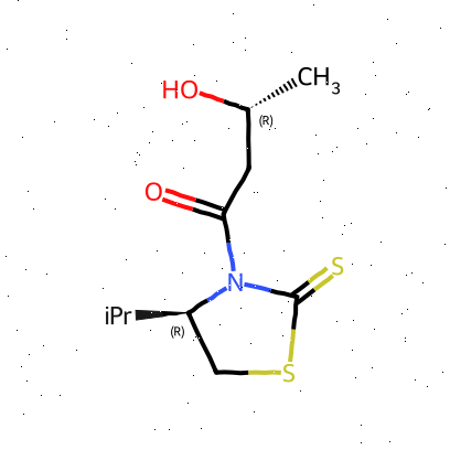 CC(C)[C@@H]1CSC(=S)N1C(=O)C[C@@H](C)O